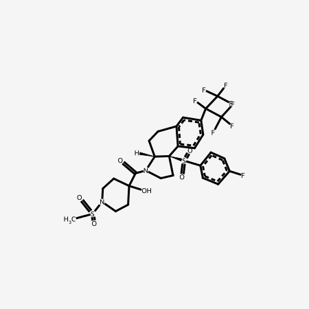 CS(=O)(=O)N1CCC(O)(C(=O)N2CC[C@@]3(S(=O)(=O)c4ccc(F)cc4)c4ccc(C(F)(C(F)(F)F)C(F)(F)F)cc4CC[C@@H]23)CC1